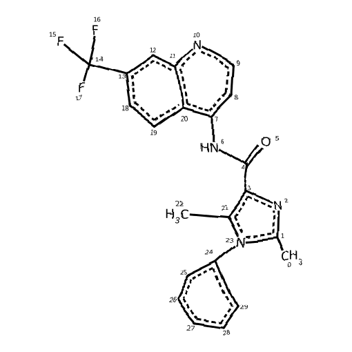 Cc1nc(C(=O)Nc2ccnc3cc(C(F)(F)F)ccc23)c(C)n1-c1ccccc1